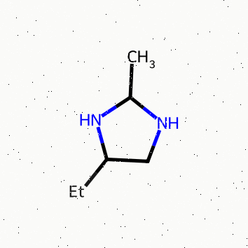 CCC1CNC(C)N1